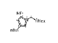 CCCCCCCn1ccc(CCCC)c1.F